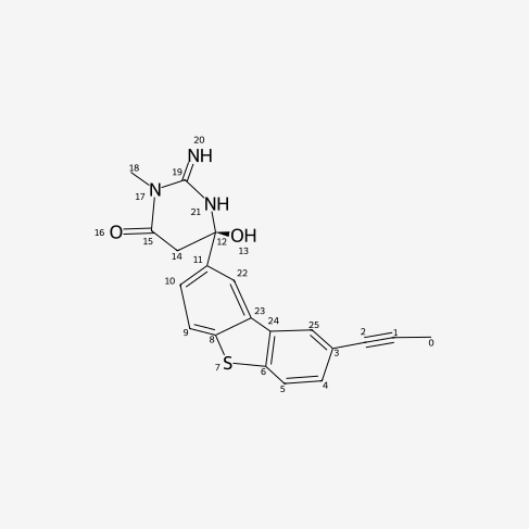 CC#Cc1ccc2sc3ccc([C@]4(O)CC(=O)N(C)C(=N)N4)cc3c2c1